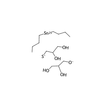 CCC[CH2][Sn+2][CH2]CCC.OCC(O)C[S-].[O-]CC(O)CO